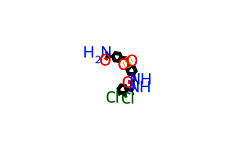 C[C@H](NC(=O)Nc1ccc(S(=O)(=O)Cc2ccc(C(N)=O)cc2)cc1)c1cccc(Cl)c1Cl